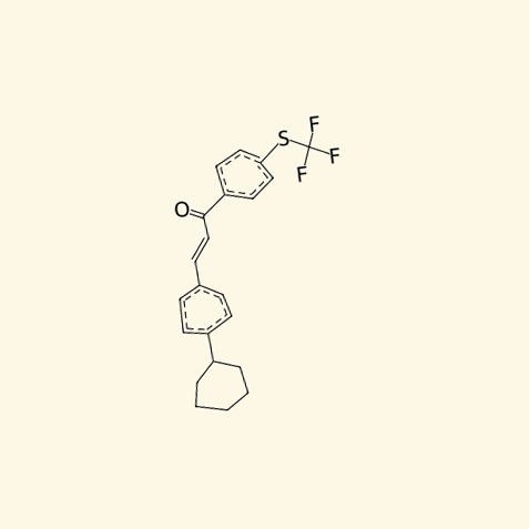 O=C(/C=C/c1ccc(C2CCCCC2)cc1)c1ccc(SC(F)(F)F)cc1